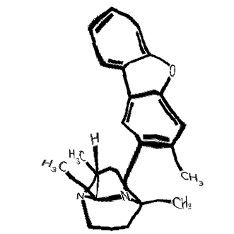 Cc1cc2oc3ccccc3c2cc1N1[C@@H](C)N2CCC1(C)CC2C